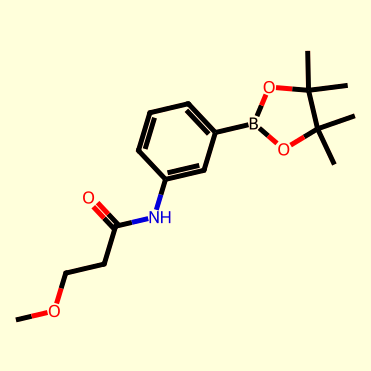 COCCC(=O)Nc1cccc(B2OC(C)(C)C(C)(C)O2)c1